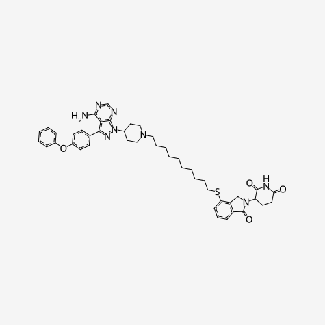 Nc1ncnc2c1c(-c1ccc(Oc3ccccc3)cc1)nn2C1CCN(CCCCCCCCCCSc2cccc3c2CN(C2CCC(=O)NC2=O)C3=O)CC1